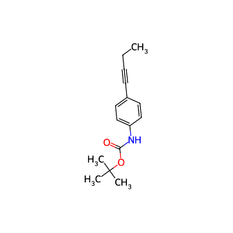 CCC#Cc1ccc(NC(=O)OC(C)(C)C)cc1